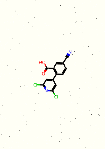 N#Cc1ccc(-c2cc(Cl)nc(Cl)c2)c(C(=O)O)c1